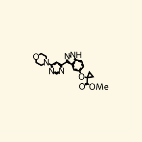 COC(=O)C1(Oc2ccc3[nH]nc(-c4cc(N5CCOCC5)ncn4)c3c2)CC1